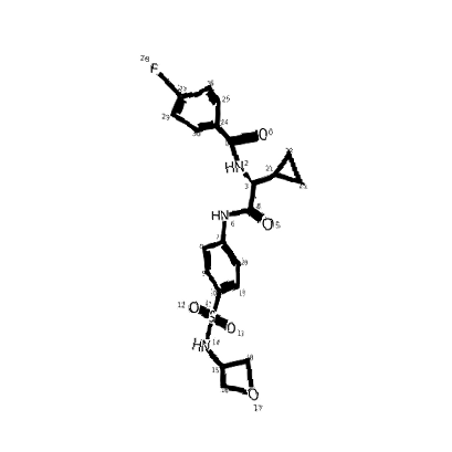 O=C(N[C@H](C(=O)Nc1ccc(S(=O)(=O)NC2COC2)cc1)C1CC1)c1ccc(F)cc1